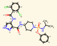 CC(C)NP(=O)(Oc1ccccc1)N1CCC(NC(=O)c2n[nH]cc2NC(=O)c2c(Cl)cccc2Cl)CC1